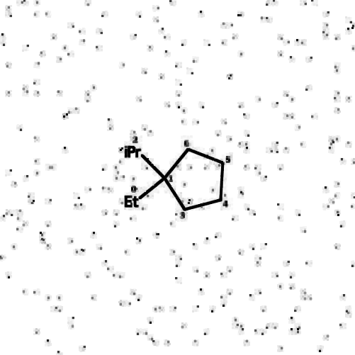 CCC1(C(C)C)CCCC1